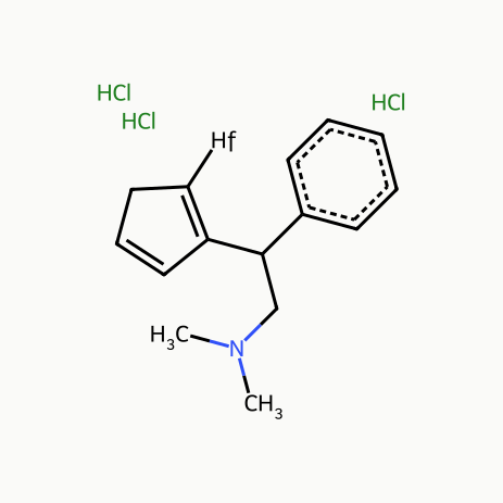 CN(C)CC(C1=[C]([Hf])CC=C1)c1ccccc1.Cl.Cl.Cl